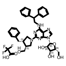 O=C(O)C(F)(F)F.OC[C@@H]1CN(c2nc(NCC(c3ccccc3)c3ccccc3)c3ncn([C@@H]4O[C@H](CO)[C@@H](O)[C@H]4O)c3n2)C[C@H]1Cc1ccccc1